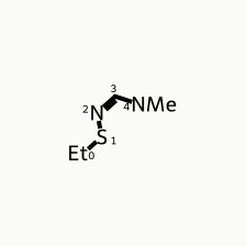 CCS/N=C\NC